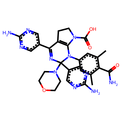 Cc1cc(N2C3=C(CCN3C(=O)O)C(c3cnc(N)nc3)=NC2(c2cnc(N)nc2)N2CCOCC2)cc(C)c1C(N)=O